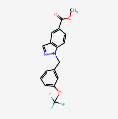 COC(=O)c1ccc2c(cnn2Cc2cccc(OC(F)(F)F)c2)c1